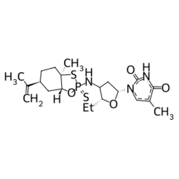 C=C(C)[C@H]1CC[C@@]2(C)SP(=S)(NC3C[C@H](n4cc(C)c(=O)[nH]c4=O)O[C@@H]3CC)O[C@@H]2C1